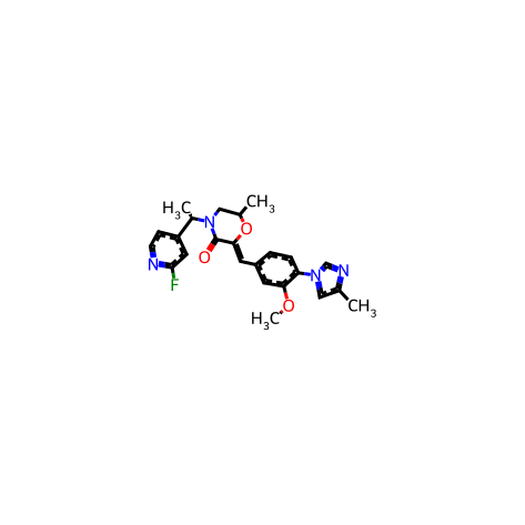 COc1cc(C=C2OC(C)CN([C@H](C)c3ccnc(F)c3)C2=O)ccc1-n1cnc(C)c1